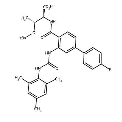 Cc1cc(C)c(NC(=O)Nc2cc(-c3ccc(F)cc3)ccc2C(=O)N[C@H](C(=O)O)[C@@H](C)OC(C)(C)C)c(C)c1